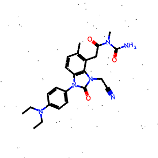 CCN(CC)c1ccc(-n2c(=O)n(CC#N)c3c(CC(=O)N(C)C(N)=O)c(C)ccc32)cc1